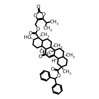 CC(C)c1oc(=O)oc1COC(=O)[C@@]1(C)C2CC[C@]3(C)C(C(=O)C=C4[C@@H]5C[C@@](C)(C(=O)OC(c6ccccc6)c6ccccc6)CC[C@]5(C)CC[C@]43C)[C@@]2(C)CC[C@@H]1O